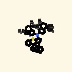 CC1(C)CCC(C)(C)c2cc(N(c3ccc4c(c3)C(C)(C)CCC4(C)C)c3ccc(-c4ccccc4)c4c3Sc3ccccc3C43C4CC5CC6CC3C64C5)ccc21